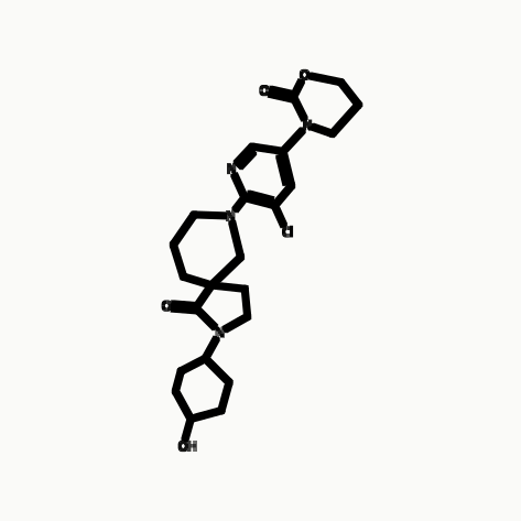 O=C1OCCCN1c1cnc(N2CCCC3(CCN(C4CCC(O)CC4)C3=O)C2)c(Cl)c1